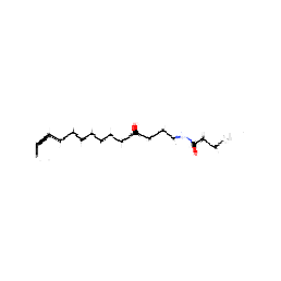 CCCCCCCC/C=C\CCCCCCCC(=O)CCCNC(=O)CCNC(C)=O